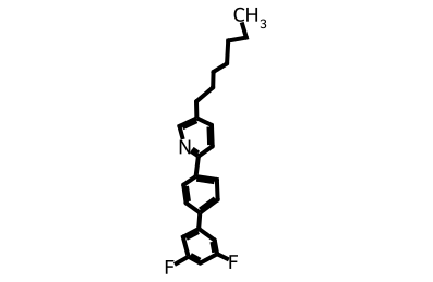 CCCCCCCc1ccc(-c2ccc(-c3cc(F)cc(F)c3)cc2)nc1